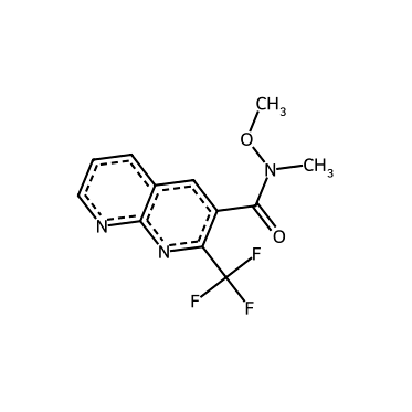 CON(C)C(=O)c1cc2cccnc2nc1C(F)(F)F